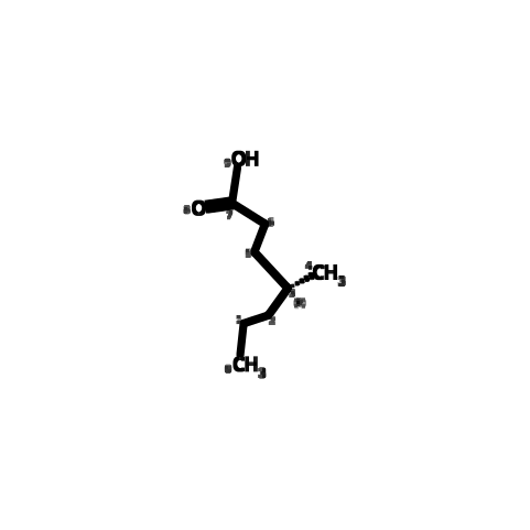 CCC[C@@H](C)CCC(=O)O